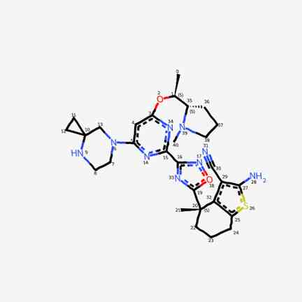 C[C@H](Oc1cc(N2CCNC3(CC3)C2)nc(-c2noc([C@@]3(C)CCCc4sc(N)c(C#N)c43)n2)n1)[C@@H]1CCCN1C